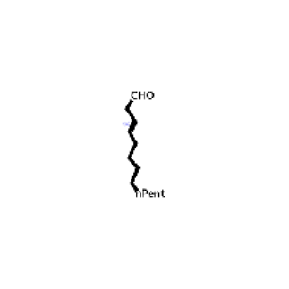 CCCCCCCCC/C=C/CC=O